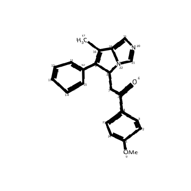 COc1ccc(C(=O)CC2C(c3ccccc3)=C(C)c3cncn32)cc1